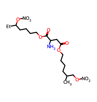 CCC(CCCCOC(=O)C(N)CC(=O)OCCCCC(C)CO[N+](=O)[O-])O[N+](=O)[O-]